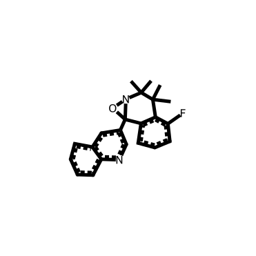 CC1(C)c2c(F)cccc2C2(c3cnc4ccccc4c3)ON2C1(C)C